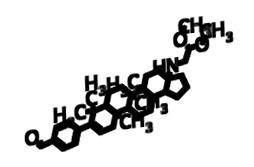 COC(CNC12CCCC1C1CCC3C4(C)CC=C(c5ccc(C=O)cc5)C(C)(C)C4CCC3(C)[C@]1(C)CC2)OC